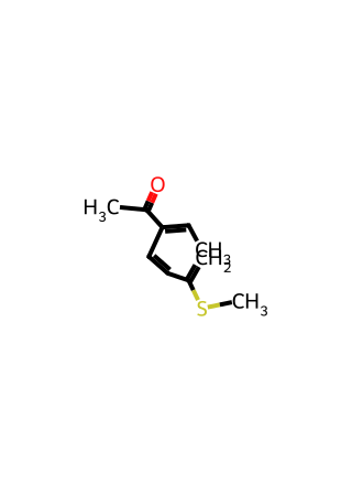 C=C(/C=C\C(=C/C)C(C)=O)SC